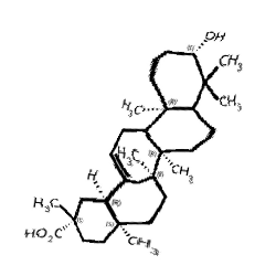 CC1(C)C2CC[C@]3(C)C(CC=C4[C@@H]5C[C@@](C)(C(=O)O)CC[C@]5(C)CC[C@@]43C)[C@@]2(C)CC[C@@H]1O